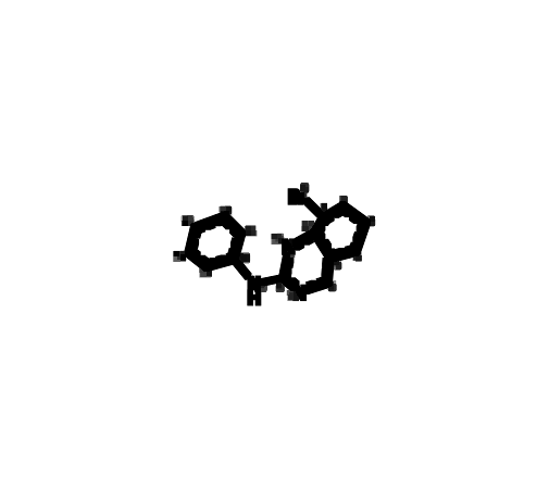 Brc1cccc2cnc(Nc3ccccc3)nc12